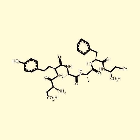 CC(C)C[C@H](NC(=O)[C@H](Cc1ccccc1)NC(=O)[C@H](C)NC(=O)[C@H](C)NC(=O)[C@H](CCc1ccc(O)cc1)NC(=O)[C@@H](N)CC(=O)O)C(=O)O